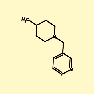 CC1CCN(Cc2cc[c]nc2)CC1